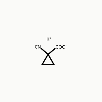 [C-]#[N+]C1(C(=O)[O-])CC1.[K+]